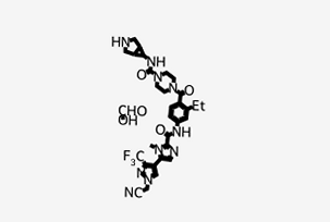 CCc1cc(NC(=O)c2ncc(-c3cn(CC#N)nc3C(F)(F)F)n2C)ccc1C(=O)N1CCN(C(=O)NC2C3CNCC32)CC1.O=CO